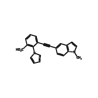 Cn1ccc2cc(C#Cc3cccc(C(=O)O)c3-n3cccc3)ccc21